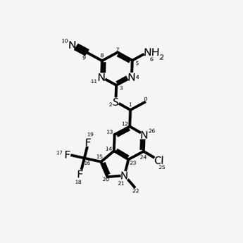 CC(Sc1nc(N)cc(C#N)n1)c1cc2c(C(F)(F)F)cn(C)c2c(Cl)n1